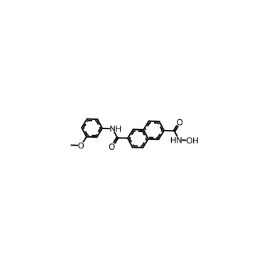 COc1cccc(NC(=O)c2ccc3cc(C(=O)NO)ccc3c2)c1